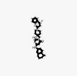 CC1CCCc2cc(Nc3cc(=O)n(CC4(O)CCN(C(=O)C[C@@H](C)c5ccccc5)CC4)cn3)ccc21